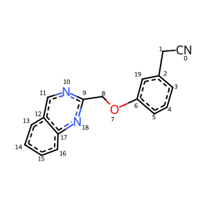 N#CCc1cccc(OCc2ncc3ccccc3n2)c1